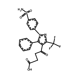 NS(=O)(=O)c1ccc(-n2nc(C(F)(F)F)c(C(=O)CCC(=O)O)c2-c2ccccc2)cc1